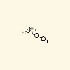 C=Cc1ccc(-c2ccc(CC[C@@](C)(N)CO)cc2)cc1